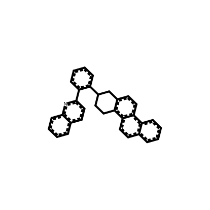 c1ccc(C2CCc3c(ccc4c3ccc3ccccc34)C2)c(-c2ccc3ccccc3n2)c1